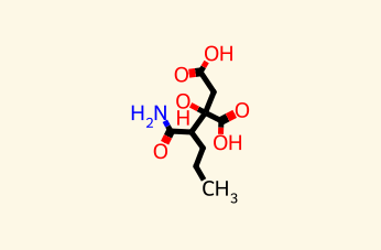 CCCC(C(N)=O)C(O)(CC(=O)O)C(=O)O